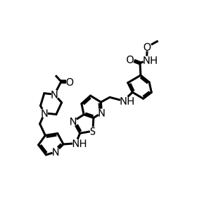 CONC(=O)c1cccc(NCc2ccc3nc(Nc4cc(CN5CCN(C(C)=O)CC5)ccn4)sc3n2)c1